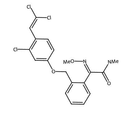 CNC(=O)/C(=N/OC)c1ccccc1COc1ccc(C=C(Cl)Cl)c(Cl)c1